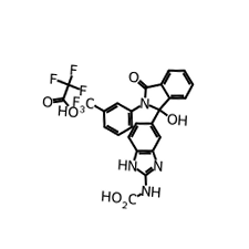 O=C(O)C(F)(F)F.O=C(O)Nc1nc2cc(C3(O)c4ccccc4C(=O)N3c3cccc(C(F)(F)F)c3)ccc2[nH]1